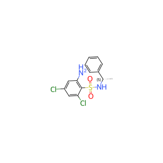 C[C@H](NS(=O)(=O)c1c(N)cc(Cl)cc1Cl)c1ccccc1